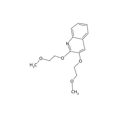 COCCOc1cc2ccccc2nc1OCCOC